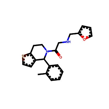 Cc1ccccc1C1c2ccsc2CCN1C(=O)CNCc1ccco1